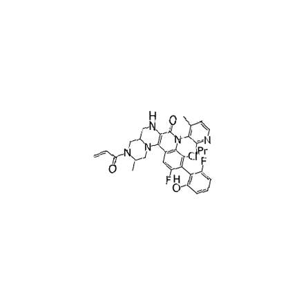 C=CC(=O)N1CC2CNc3c(c4cc(F)c(-c5c(O)cccc5F)c(Cl)c4n(-c4c(C)ccnc4C(C)C)c3=O)N2CC1C